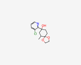 CC1CC(O)(c2ncccc2Cl)CCC12OCCO2